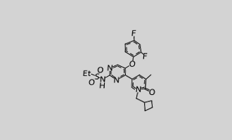 CCS(=O)(=O)Nc1ncc(Oc2ccc(F)cc2F)c(-c2cc(C)c(=O)n(CC3CCC3)c2)n1